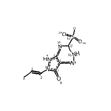 CC=Cn1[nH]c2c(c1=O)=NNC(S(C)(=O)=O)N=2